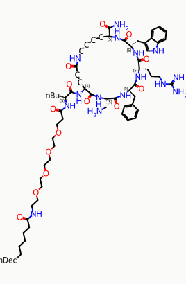 CCCCCCCCCCCCCCCC(=O)NCCOCCOCCOCCOCCC(=O)N[C@@H](CCCC)C(=O)N[C@H]1CCC(=O)NCCCC[C@@H](C(N)=O)NC(=O)[C@H](Cc2c[nH]c3ccccc23)NC(=O)[C@H](CCCNC(=N)N)NC(=O)[C@@H](Cc2ccccc2)NC(=O)[C@H](CN)NC1=O